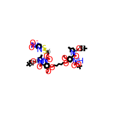 C=C1C[C@@H](CO[Si](C)(C)C(C)(C)C)N(C(=O)c2cc(OC)c(OCCCCCOc3cc(NC(=O)OC(C)(C)C)c(C(=O)N4CC(=C)C[C@H]4CO[Si](C)(C)C(C)(C)C)cc3OC)cc2NC(=O)OC[C@@H](C)SSc2ccc([N+](=O)[O-])cn2)C1